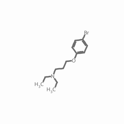 CCN(CC)CCCOc1ccc(Br)cc1